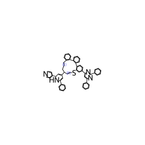 C1=C(c2ccccc2)NC(c2ccncc2)C=C1C1/C=C/Sc2cc(-c3cc(-c4ccccc4)nc(-c4ccccc4)n3)ccc2-c2ccccc2-c2ccccc2/C=C/C1